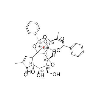 C=C(C)[C@@]12O[C@@]3(c4ccccc4)O[C@@H]1C1[C@@H]4O[C@]4(CO)[C@@H](O)[C@]4(O)C(=O)C(C)=CC4C1(O3)[C@H](C)[C@H]2OC(=O)c1ccccc1